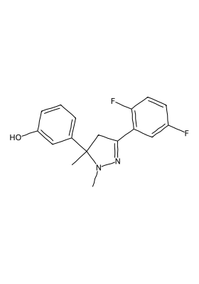 CN1N=C(c2cc(F)ccc2F)CC1(C)c1cccc(O)c1